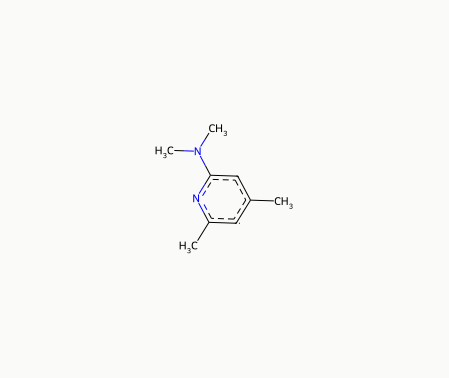 Cc1[c]c(C)nc(N(C)C)c1